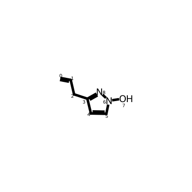 C=CCc1ccn(O)n1